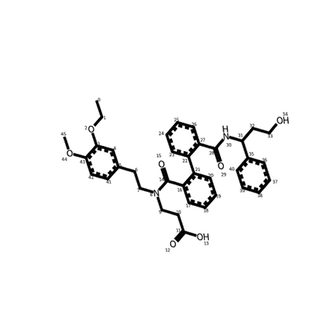 CCOc1cc(CCN(CCC(=O)O)C(=O)c2ccccc2-c2ccccc2C(=O)NC(CCO)c2ccccc2)ccc1OC